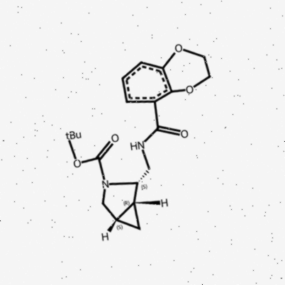 CC(C)(C)OC(=O)N1C[C@H]2C[C@H]2[C@H]1CNC(=O)c1cccc2c1OCCO2